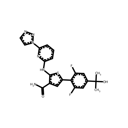 CC(C)(O)c1cc(F)c(-c2cc(C(N)=O)c(Nc3cccc(-n4ccnn4)n3)s2)c(F)c1